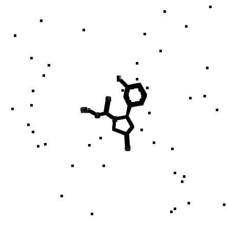 CC(C)(C)OC(=O)N1CC(=O)C[C@@H]1c1cccc(F)c1